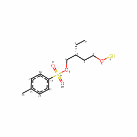 CC[C@H](CCOS)COS(=O)(=O)c1ccc(C)cc1